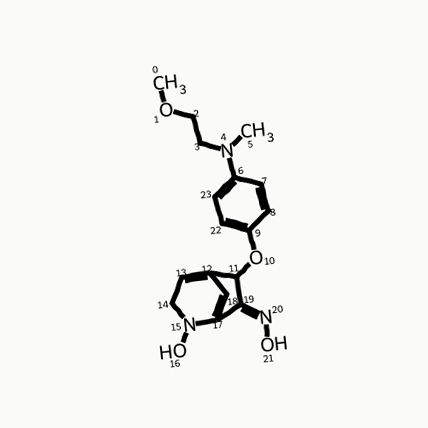 COCCN(C)c1ccc(OC2C3=CCN(O)C(=C3)/C2=N\O)cc1